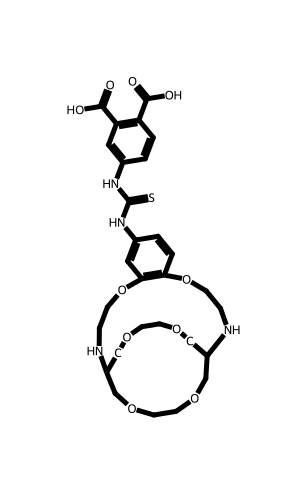 O=C(O)c1ccc(NC(=S)Nc2ccc3c(c2)OCCNC2COCCOCC(COCCOC2)NCCO3)cc1C(=O)O